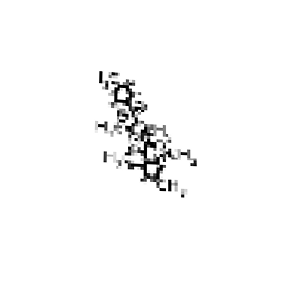 CCc1cc(C)cc(CC)c1C(=O)C(=O)N(C)N=C(C)CS(=O)(=O)c1ccc(C)cc1